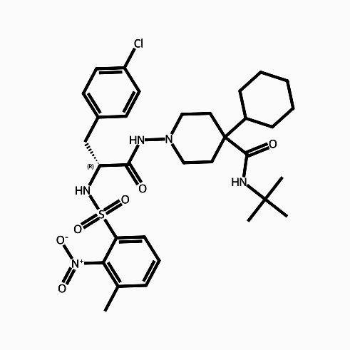 Cc1cccc(S(=O)(=O)N[C@H](Cc2ccc(Cl)cc2)C(=O)NN2CCC(C(=O)NC(C)(C)C)(C3CCCCC3)CC2)c1[N+](=O)[O-]